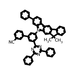 CC1(C)c2ccccc2-c2cc3c4ccc(-c5ccccc5)cc4n(-c4cc(-c5cccc(C#N)c5)cc(-c5nc(-c6ccccc6)nc(-c6ccccc6)n5)c4)c3cc21